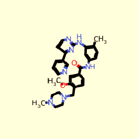 COc1cc(C(=O)Nc2ccc(C)c(Nc3nccc(-c4cccnc4)n3)c2)ccc1CN1CCN(C)CC1